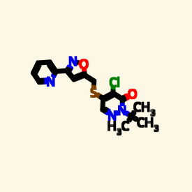 CC(C)(C)n1ncc(SCc2cc(-c3ccccn3)no2)c(Cl)c1=O